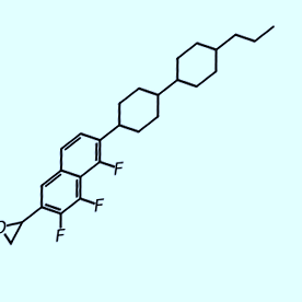 CCCC1CCC(C2CCC(c3ccc4cc(C5CO5)c(F)c(F)c4c3F)CC2)CC1